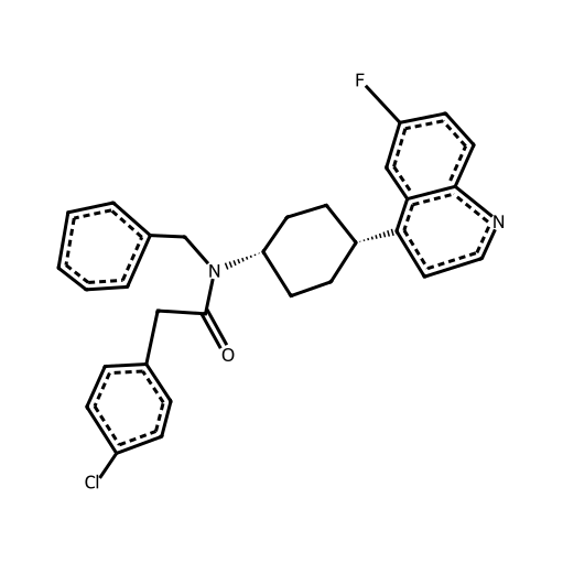 O=C(Cc1ccc(Cl)cc1)N(Cc1ccccc1)[C@H]1CC[C@@H](c2ccnc3ccc(F)cc32)CC1